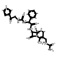 NC(=O)OCC1=C(C(=O)O)N2C(=O)C(NC(=O)C(NC(=O)NCC(=O)c3ccsc3)c3ccccc3)[C@@H]2SC1